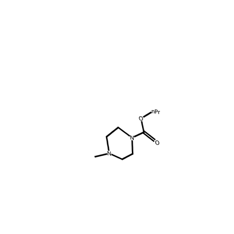 CCCOC(=O)N1CCN(C)CC1